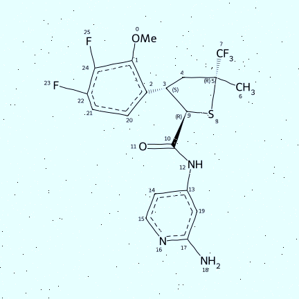 COc1c([C@@H]2C[C@](C)(C(F)(F)F)S[C@H]2C(=O)Nc2ccnc(N)c2)ccc(F)c1F